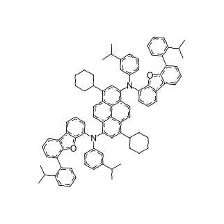 CC(C)c1cccc(N(c2cc(C3CCCCC3)c3ccc4c(N(c5cccc(C(C)C)c5)c5cccc6c5oc5c(-c7ccccc7C(C)C)cccc56)cc(C5CCCCC5)c5ccc2c3c54)c2cccc3c2oc2c(-c4ccccc4C(C)C)cccc23)c1